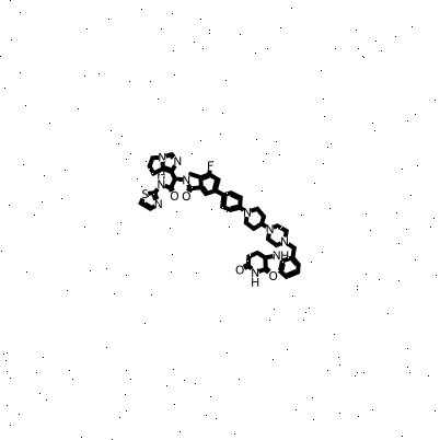 O=C1CCC(Nc2ccccc2CN2CCN(C3CCN(c4ccc(-c5cc(F)c6c(c5)C(=O)N(C(C(=O)Nc5nccs5)c5ncn7c5CCC7)C6)cc4)CC3)CC2)C(=O)N1